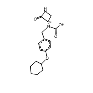 O=C1NC[C@@H]1N(Cc1ccc(OC2CCCCC2)cc1)C(=O)O